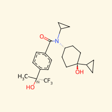 C[C@](O)(c1ccc(C(=O)N(C2CC2)[C@H]2CC[C@@](O)(C3CC3)CC2)cc1)C(F)(F)F